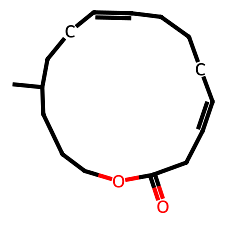 CC1CCC=CCCCC=CCC(=O)OCCC1